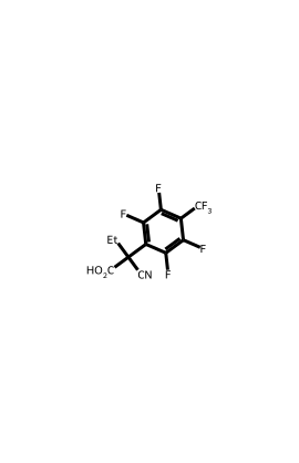 CCC(C#N)(C(=O)O)c1c(F)c(F)c(C(F)(F)F)c(F)c1F